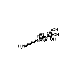 NCCCCCCNc1ncnc2c1ncn2[C@@H]1O[C@H](CO)C(O)C1O